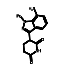 CC(C)n1nc(C2CCC(=O)NC2=O)c2cccc(N)c21